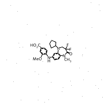 COc1cc(C(=O)O)ccc1Nc1ccc2c(c1)N(C1CCCC1)CC(F)(F)C(=O)N2C